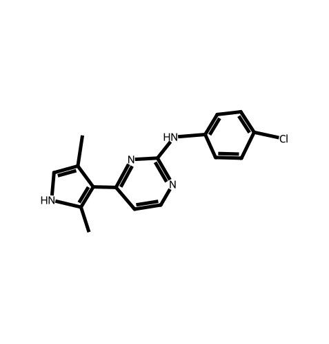 Cc1c[nH]c(C)c1-c1ccnc(Nc2ccc(Cl)cc2)n1